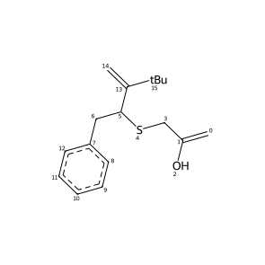 C=C(O)CSC(Cc1ccccc1)C(=C)C(C)(C)C